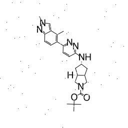 Cc1c(-c2ccc(N[C@@H]3CC4CN(C(=O)OC(C)(C)C)C[C@H]4C3)nn2)ccc2nn(C)cc12